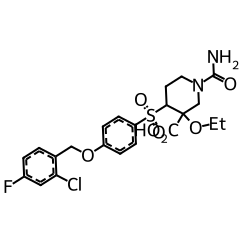 CCOC1(C(=O)O)CN(C(N)=O)CCC1S(=O)(=O)c1ccc(OCc2ccc(F)cc2Cl)cc1